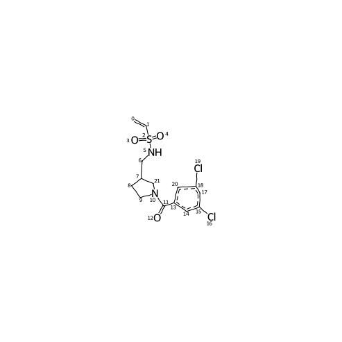 C=CS(=O)(=O)NCC1CCN(C(=O)c2cc(Cl)cc(Cl)c2)C1